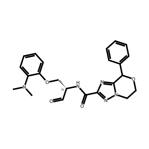 CN(C)c1ccccc1OC[C@@H](C=O)NC(=O)c1nc2n(n1)CCOC2c1ccccc1